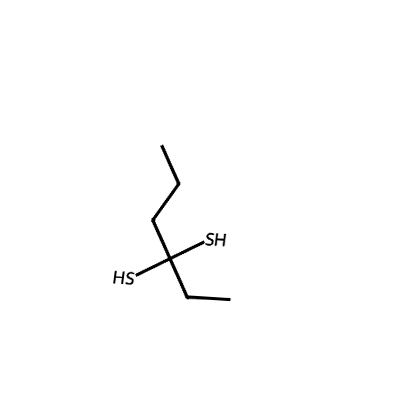 CCCC(S)(S)CC